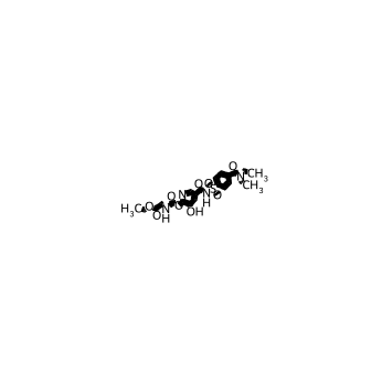 CCOC(=O)CNC(=O)Oc1ncc(C(=O)NS(=O)(=O)c2ccc(C(=O)N(CC)CC)cc2)cc1O